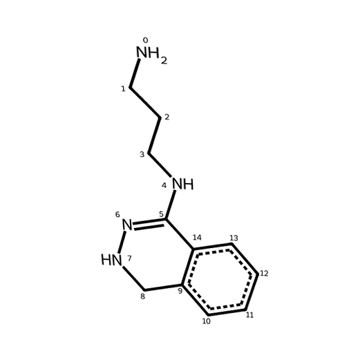 NCCCNC1=NNCc2ccccc21